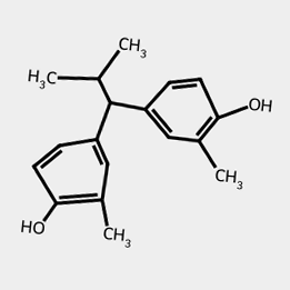 Cc1cc(C(c2ccc(O)c(C)c2)C(C)C)ccc1O